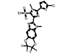 CCS(=O)(=O)c1c(-c2nc3cc4c(cc3n2C)OC(F)(F)C(F)(F)O4)nc(-c2ccc(Cl)s2)n1C